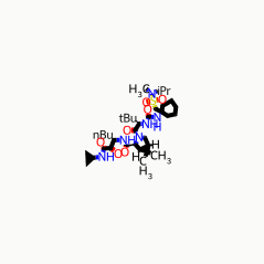 CCCC[C@H](NC(=O)[C@@H]1[C@@H]2[C@H](CN1C(=O)[C@@H](NC(=O)NC1(CS(=O)(=O)N(C)C(C)C)CCCCC1)C(C)(C)C)C2(C)C)C(=O)C(=O)NC1CC1